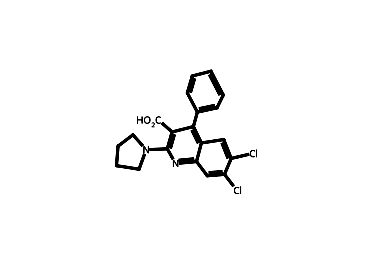 O=C(O)c1c(N2CCCC2)nc2cc(Cl)c(Cl)cc2c1-c1ccccc1